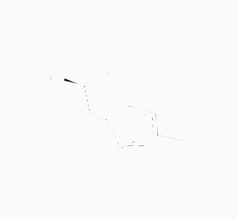 C[C@@H](O)Cc1ccc(Br)cn1